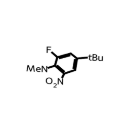 CNc1c(F)cc(C(C)(C)C)cc1[N+](=O)[O-]